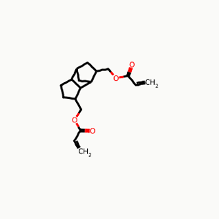 C=CC(=O)OCC1CC2CC1C1C(COC(=O)C=C)CCC21